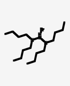 CCCCN(CCCC)[SiH](Br)N(CCCC)CCCC